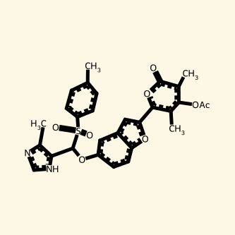 CC(=O)Oc1c(C)c(-c2cc3cc(OC(c4[nH]cnc4C)S(=O)(=O)c4ccc(C)cc4)ccc3o2)oc(=O)c1C